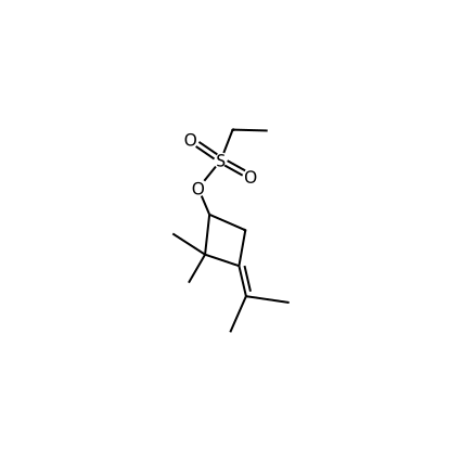 CCS(=O)(=O)OC1CC(=C(C)C)C1(C)C